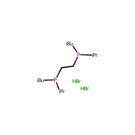 Br.Br.CCC(C)P(CCP(C(C)C)C(C)CC)C(C)C